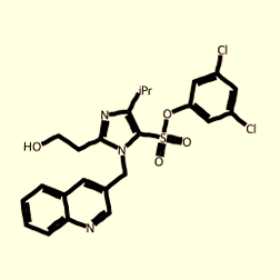 CC(C)c1nc(CCO)n(Cc2cnc3ccccc3c2)c1S(=O)(=O)Oc1cc(Cl)cc(Cl)c1